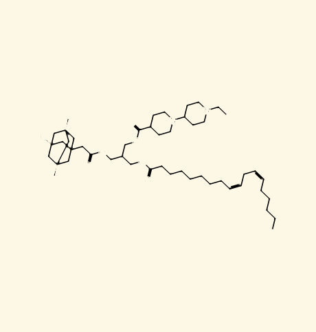 CCCCC/C=C\C/C=C\CCCCCCCC(=O)OCC(COC(=O)CC12C[C@@H]3C[C@@](C)(C1)C[C@](C)(C3)C2)COC(=O)C1CCN(C2CCN(CC)CC2)CC1